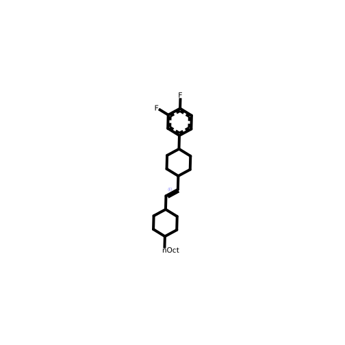 CCCCCCCCC1CCC(/C=C/C2CCC(c3ccc(F)c(F)c3)CC2)CC1